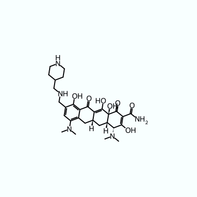 CN(C)c1cc(CNCC2CCNCC2)c(O)c2c1C[C@H]1C[C@H]3[C@@H](N(C)C)C(O)=C(C(N)=O)C(=O)[C@@]3(O)C(O)=C1C2=O